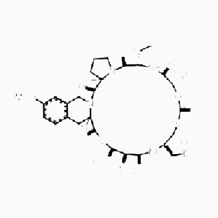 C=C1OC(=O)[C@@H]2Cc3ccc(OC)cc3CN2C(=O)[C@@H]2CCCN2C(=O)[C@H](CC(C)C)NC(=O)[C@H](C(C)C)OC(=O)C[C@H](O)/C(=C\CC)NC(=O)C1=C